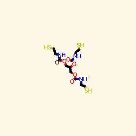 O=C(NCCS)OCC(COC(=O)NCCS)OC(=O)NCCS